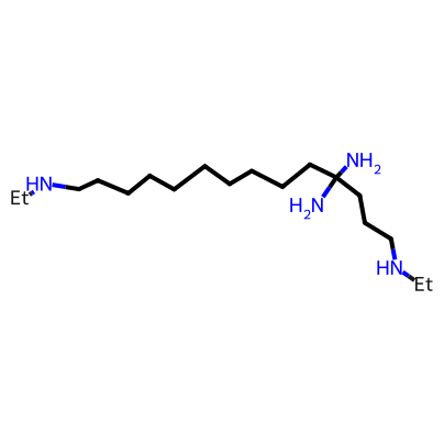 CCNCCCCCCCCCCC(N)(N)CCCNCC